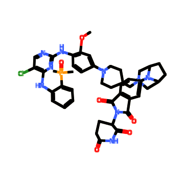 COc1cc(N2CCC(CN3CC4CCC(C3)N4c3ccc4c(c3)C(=O)N(C3CCC(=O)NC3=O)C4=O)CC2)ccc1Nc1ncc(Cl)c(Nc2ccccc2P(C)(C)=O)n1